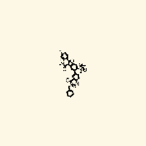 CNC(=O)c1c(-c2ccc(F)cc2)oc2cc(N(C)S(C)(=O)=O)c(-c3ccc4nnn(Cc5ccccc5)c(=O)c4c3)cc12